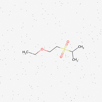 [CH2]C(C)S(=O)(=O)CCOCC